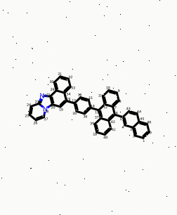 c1ccc2cc(-c3c4ccccc4c(-c4ccc(-c5cc6c(nc7ccccn76)c6ccccc56)cc4)c4ccccc34)ccc2c1